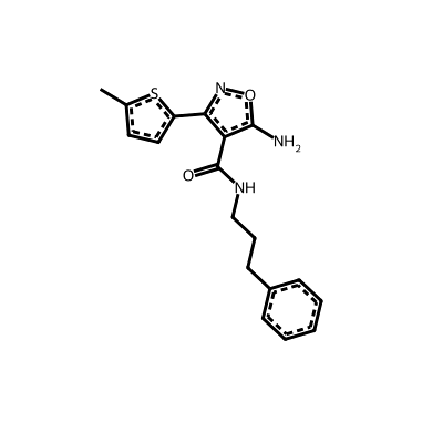 Cc1ccc(-c2noc(N)c2C(=O)NCCCc2ccccc2)s1